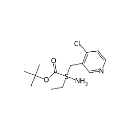 CCS(N)(Cc1cnccc1Cl)C(=O)OC(C)(C)C